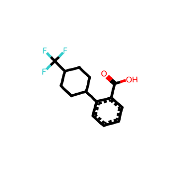 O=C(O)c1ccccc1C1CCC(C(F)(F)F)CC1